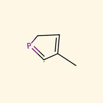 CC1=CCP=[C]1